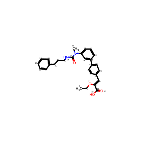 CCOC(=Cc1ccc(-c2cccc(N(C)C(=O)NCCCc3ccccc3)c2)cc1)C(=O)O